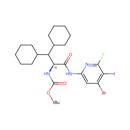 CC(C)(C)OC(=O)N[C@H](C(=O)Nc1cc(Br)c(I)c(F)n1)C(C1CCCCC1)C1CCCCC1